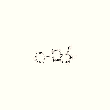 O=c1[nH]ncc2nc(-c3ccccc3)ncc12